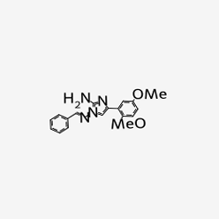 COc1ccc(OC)c(-c2cn(N=Cc3ccccc3)c(N)n2)c1